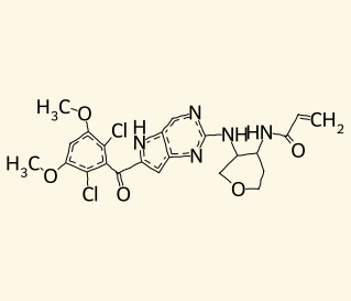 C=CC(=O)NC1CCOCC1Nc1ncc2[nH]c(C(=O)c3c(Cl)c(OC)cc(OC)c3Cl)cc2n1